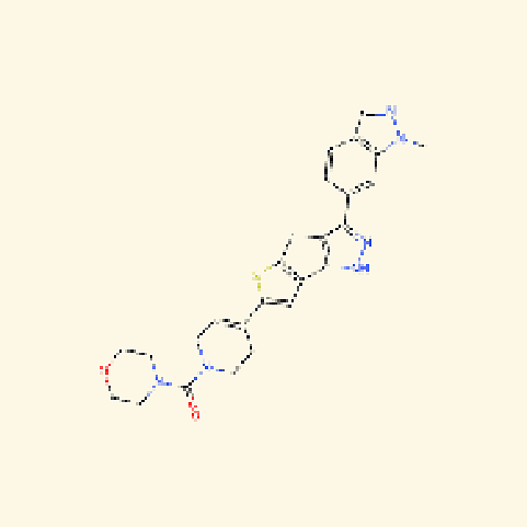 Cn1ncc2ccc(-c3n[nH]c4c3Cc3sc(C5=CCN(C(=O)N6CCOCC6)CC5)cc3-4)cc21